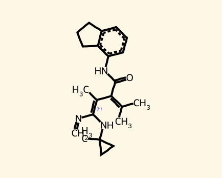 C=N/C(NC1(C)CC1)=C(\C)C(C(=O)Nc1cccc2c1CCC2)=C(C)C